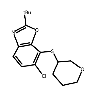 CC(C)(C)c1nc2ccc(Cl)c(SC3CCCOC3)c2o1